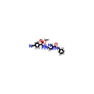 CCOC(=O)C(C=NNc1ccc(C(=O)NCc2ccccc2)cn1)c1ccc(C#N)cc1